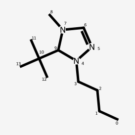 CCCCN1N=CN(C)C1C(C)(C)C